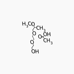 CC(=O)O.COC(C)COCCOCCO